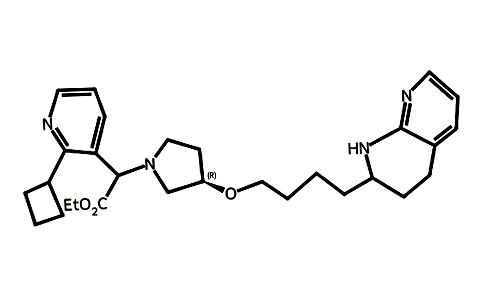 CCOC(=O)C(c1cccnc1C1CCC1)N1CC[C@@H](OCCCCC2CCc3cccnc3N2)C1